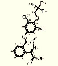 CO/N=C(/C(=O)O)c1ccccc1COc1cc(Cl)c(OCC(F)(F)F)c(Cl)c1